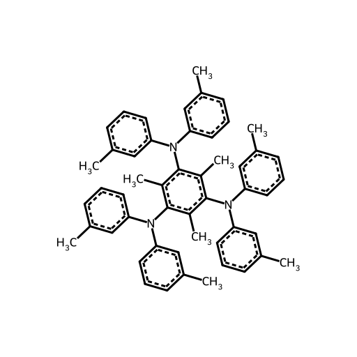 Cc1cccc(N(c2cccc(C)c2)c2c(C)c(N(c3cccc(C)c3)c3cccc(C)c3)c(C)c(N(c3cccc(C)c3)c3cccc(C)c3)c2C)c1